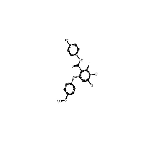 O=C(Nc1cc[n+]([O-])cc1)c1c(Oc2ccc(OC(F)(F)F)cc2)cc(Cl)c(Cl)c1F